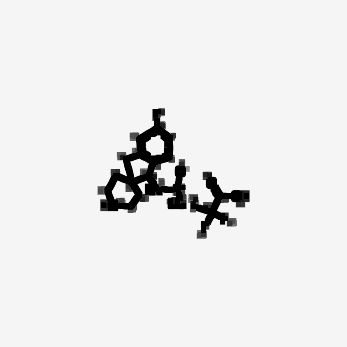 CC(C)(C)[S+]([O-])N[C@@H]1c2ccc(F)cc2CC12CCNCC2.O=C(O)C(F)(F)F